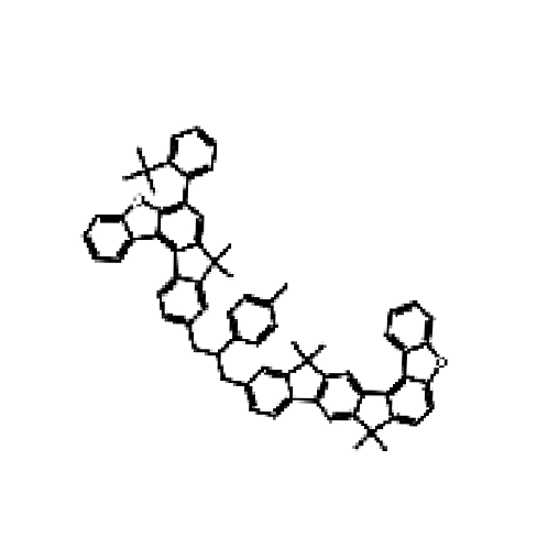 Cc1ccc(C(Cc2ccc3c(c2)C(C)(C)c2cc4c(cc2-3)C(C)(C)c2ccc3oc5ccccc5c3c2-4)Cc2ccc3c(c2)C(C)(C)c2cc(-c4ccccc4C(C)(C)C)c4oc5ccccc5c4c2-3)cc1